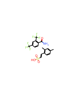 Cc1ccc(/C=C/S(=O)(=O)O)c(C)c1.NC(=O)c1ccc(C(F)(F)F)cc1C(F)(F)F